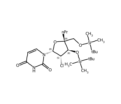 CCC[C@]1(CO[Si](C)(C)C(C)(C)C)O[C@@H](n2ccc(=O)[nH]c2=O)[C@@H](Cl)[C@@H]1O[Si](C)(C)C(C)(C)C